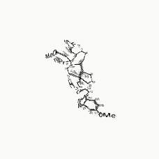 CCCC1(COC)C(CC(F)(F)F)CCC2C1CCC1(C)C2CC[C@@H]1C(=O)Cn1nnc2cc(OC)ccc21